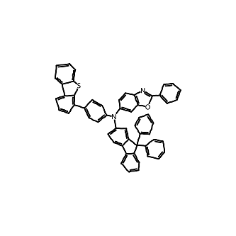 c1ccc(-c2nc3ccc(N(c4ccc(-c5cccc6c5sc5ccccc56)cc4)c4ccc5c(c4)C(c4ccccc4)(c4ccccc4)c4ccccc4-5)cc3o2)cc1